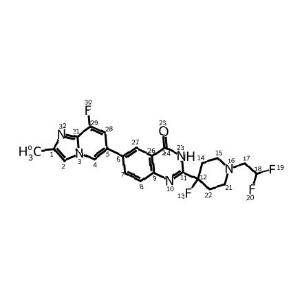 Cc1cn2cc(-c3ccc4nc(C5(F)CCN(CC(F)F)CC5)[nH]c(=O)c4c3)cc(F)c2n1